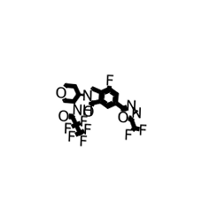 O=C1c2cc(-c3nnc(C(F)F)o3)cc(F)c2CN1[C@@H]1CCOC[C@H]1NC(=O)C(F)(F)C(F)(F)F